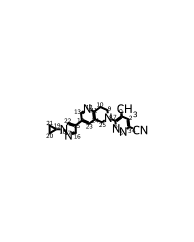 Cc1cc(C#N)nnc1N1CCc2ncc(-c3cnn(C4CC4)c3)cc2C1